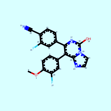 COc1ccc(-c2c(-c3ccc(C#N)c(F)c3)nc(O)n3ccnc23)cc1F